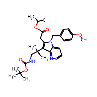 COc1ccc(Cn2c(CC(=O)OC(C)C)c(C(C)(C)CNC(=O)OC(C)(C)C)c3ncccc32)cc1